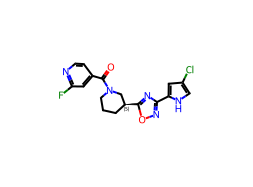 O=C(c1ccnc(F)c1)N1CCC[C@H](c2nc(-c3cc(Cl)c[nH]3)no2)C1